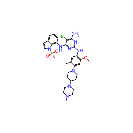 COc1cc(N2CCC(N3CCN(C)CC3)CC2)c(C)cc1Nc1nc(N)c(Br)c(Nc2cccc3ccn(S(C)(=O)=O)c23)n1